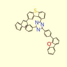 c1ccc(-c2nc(-c3ccc(-c4cccc5c4oc4ccccc45)cc3)nc(-c3cccc4sc5ccc(-c6ccc7ccccc7c6)cc5c34)n2)cc1